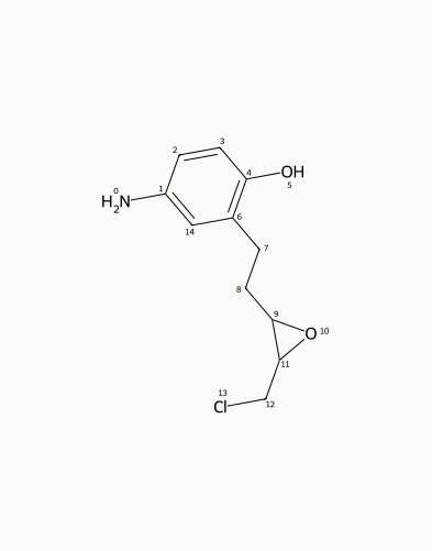 Nc1ccc(O)c(CCC2OC2CCl)c1